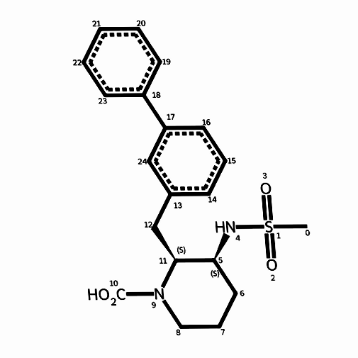 CS(=O)(=O)N[C@H]1CCCN(C(=O)O)[C@H]1Cc1cccc(-c2ccccc2)c1